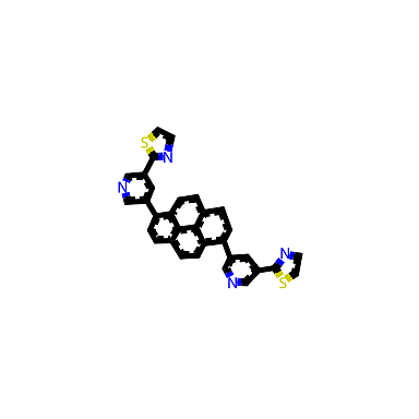 c1csc(-c2cncc(-c3ccc4ccc5c(-c6cncc(-c7nccs7)c6)ccc6ccc3c4c65)c2)n1